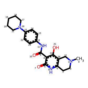 CN1CCc2[nH]c(=O)c(C(=O)Nc3ccc(N4CCCCC4)cc3)c(O)c2C1